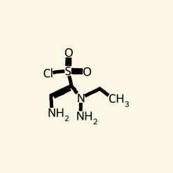 CCN(N)/C(=C\N)S(=O)(=O)Cl